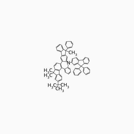 CC(C)(C)c1ccc2c(c1)C(C)(C)c1ccc3c(c1-2)-c1ccccc1N(c1ccc2c(c1)C(c1ccccc1)(c1ccccc1)c1ccccc1-2)c1cc2c(cc1-3)-c1ccccc1C2(C)c1ccccc1